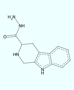 NNC(=O)C1Cc2c([nH]c3ccccc23)CN1